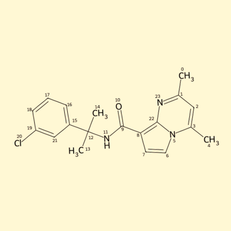 Cc1cc(C)n2ccc(C(=O)NC(C)(C)c3cccc(Cl)c3)c2n1